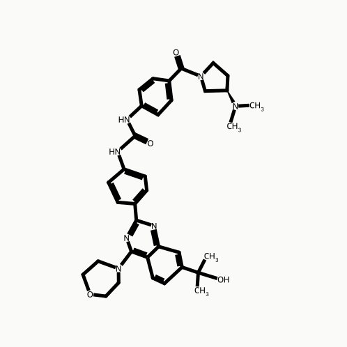 CN(C)[C@@H]1CCN(C(=O)c2ccc(NC(=O)Nc3ccc(-c4nc(N5CCOCC5)c5ccc(C(C)(C)O)cc5n4)cc3)cc2)C1